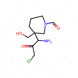 NC(C(=O)CCl)C1(CO)CCCN(C=O)C1